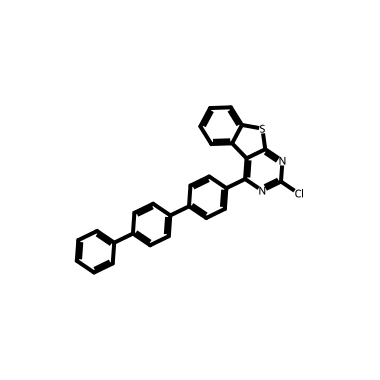 Clc1nc(-c2ccc(-c3ccc(-c4ccccc4)cc3)cc2)c2c(n1)sc1ccccc12